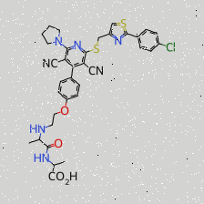 CC(NC(=O)C(C)NCCOc1ccc(-c2c(C#N)c(SCc3csc(-c4ccc(Cl)cc4)n3)nc(N3CCCC3)c2C#N)cc1)C(=O)O